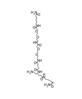 C[C@@H](CCCCNC(=O)CCC(CCN)NC(=O)CCCC(=O)NCCOCCOCC(=O)NCCOCCOCC(=O)NCCCCCC(N)=O)C(N)=O